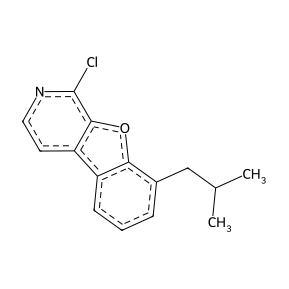 CC(C)Cc1cccc2c1oc1c(Cl)nccc12